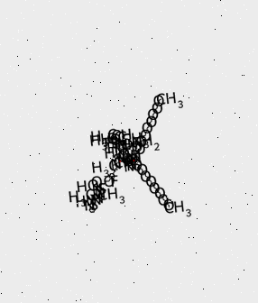 COCCOCCOCCOCCOCCOCCOCCOCCn1cc(COC(=O)N(Cc2cn(CCOCCOCCOCCOCCOCCOCCOCCOC)nn2)Cc2cc(NC(=O)[C@H](CCCNC(N)=O)NC(=O)[C@@H](NC(=O)OC(C)(C)C)C(C)C)ccc2C[N+](C)(C)CC#Cc2ccc(OCCCc3sc(N(C)c4cc(C)c(Nc5nc6ccccc6s5)nn4)nc3C(=O)O)c(F)c2)nn1